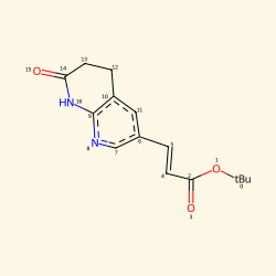 CC(C)(C)OC(=O)C=Cc1cnc2c(c1)CCC(=O)N2